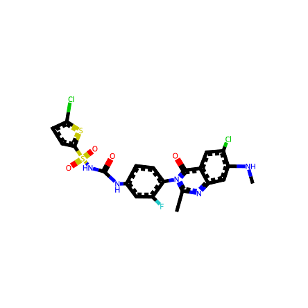 CNc1cc2nc(C)n(-c3ccc(NC(=O)NS(=O)(=O)c4ccc(Cl)s4)cc3F)c(=O)c2cc1Cl